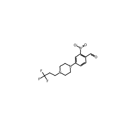 O=Cc1ccc(N2CCN(CCC(F)(F)F)CC2)cc1[N+](=O)[O-]